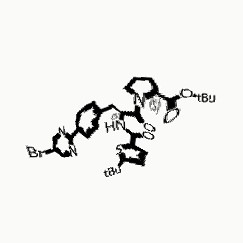 CC(C)(C)OC(=O)[C@@H]1CCCN1C(=O)[C@H](Cc1ccc(-c2ncc(Br)cn2)cc1)NC(=O)c1ccc(C(C)(C)C)s1